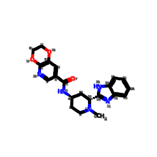 CN1CC[C@@H](NC(=O)c2cnc3c(c2)OCCO3)C[C@@H]1c1nc2ccccc2[nH]1